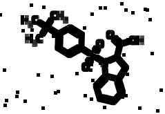 CC(C)(C)c1ccc(S(=O)(=O)N2c3ccccc3CC2C(=O)O)cc1